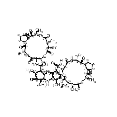 Cc1c2[nH]c3c(C)ccc(C(=O)N[C@@H]4C(=O)N[C@H](C(C)C)C(=O)N5CCC[C@H]5C(=O)N(C)CC(=O)N(C)[C@@H](C(C)C)C(=O)O[C@@H]4C)c3nc-2c(C(=O)N[C@@H]2C(=O)N[C@H](C(C)C)C(=O)N3CCC[C@H]3C(=O)N(C)CC(=O)N(C)[C@@H](C(C)C)C(=O)O[C@@H]2C)c(C)c1=O